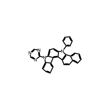 c1ccc(-n2c3ccc4c(c5ccccc5n4-c4ncncn4)c3c3ccc4ccccc4c32)cc1